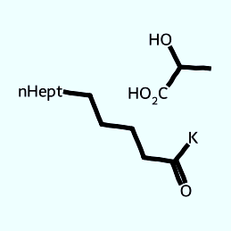 CC(O)C(=O)O.CCCCCCCCCCC[C](=O)[K]